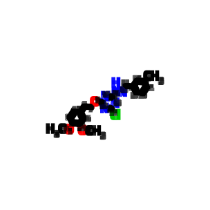 COc1ccc(CCOc2nc(Cl)nc(NN=Cc3cccc(C)c3)n2)cc1OC